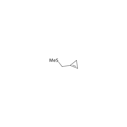 [CH2]SCC1=CC1